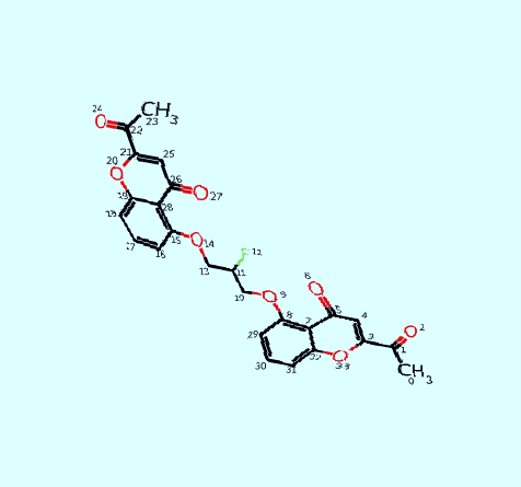 CC(=O)c1cc(=O)c2c(OCC(F)COc3cccc4oc(C(C)=O)cc(=O)c34)cccc2o1